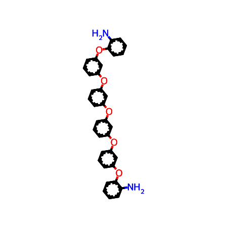 Nc1ccccc1Oc1cccc(Oc2cccc(Oc3cccc(Oc4cccc(Oc5ccccc5N)c4)c3)c2)c1